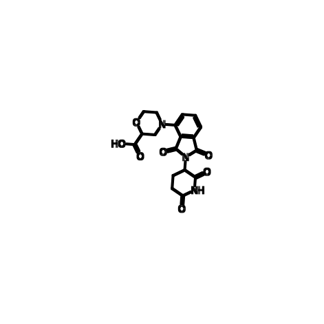 O=C1CCC(N2C(=O)c3cccc(N4CCOC(C(=O)O)C4)c3C2=O)C(=O)N1